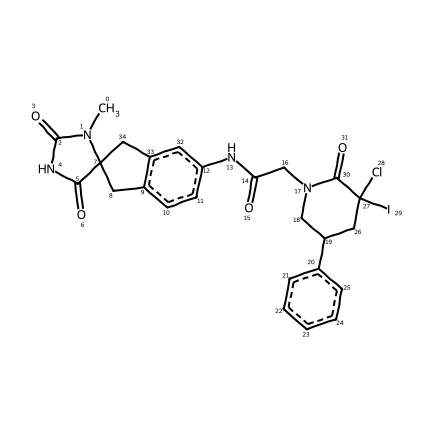 CN1C(=O)NC(=O)C12Cc1ccc(NC(=O)CN3CC(c4ccccc4)CC(Cl)(I)C3=O)cc1C2